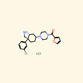 Cl.NC[C@]1(c2cccc(Cl)c2)CC[C@H](N2CCN(C(=O)c3ccco3)CC2)CC1